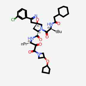 CCC[C@H](NC(=O)[C@@H]1C[C@]2(CC(c3cccc(Cl)c3)=NO2)CN1C(=O)[C@@H](NC(=O)CC1CCCCC1)C(C)(C)C)C(=O)C(=O)N1CC(OC2CCCC2)C1